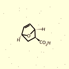 O=C(O)[C@H]1C[C@H]2C=C[C@@H]1O2